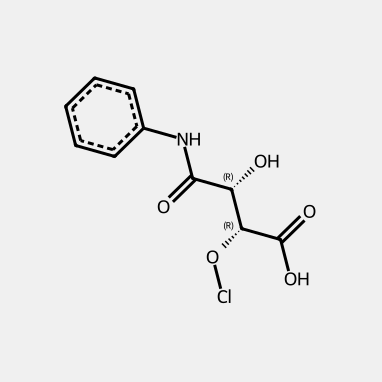 O=C(Nc1ccccc1)[C@H](O)[C@@H](OCl)C(=O)O